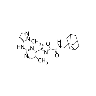 Cc1cnc(Nc2ccnn2C)nc1-c1coc(C(=O)NCC23CC4CC(CC(C4)C2)C3)n1